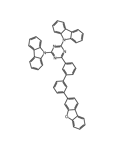 c1cc(-c2cccc(-c3nc(-n4c5ccccc5c5ccccc54)nc(-n4c5ccccc5c5ccccc54)n3)c2)cc(-c2ccc3c(c2)oc2ccccc23)c1